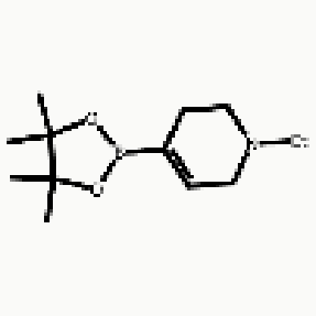 CCN1CC=C(B2OC(C)(C)C(C)(C)O2)CC1